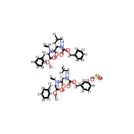 C=CN(C(=O)[C@H](CC(C)C)NC(=O)OCc1ccccc1)[C@@H](Cc1ccccc1)C(=O)OC.C=CN(C(=O)[C@H](CC(C)C)NC(=O)OCc1ccccc1)[C@@H](Cc1ccccc1)C(=O)OC.O=S=O